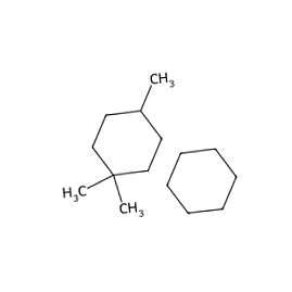 C1CCCCC1.CC1CCC(C)(C)CC1